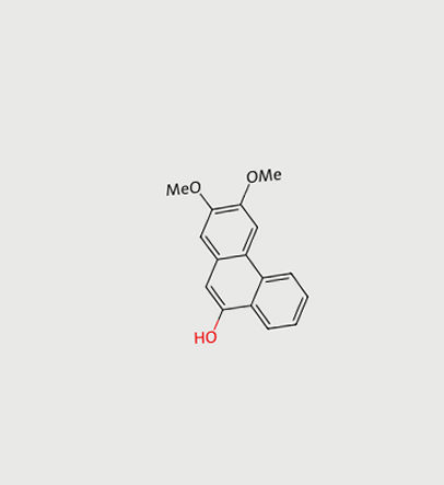 COc1cc2cc(O)c3ccccc3c2cc1OC